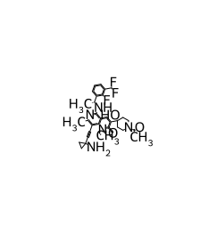 CC(=O)N1CCC(O)(c2cc3c(N[C@H](C)c4cccc(C(F)F)c4F)nc(C)c(C#CC4(N)CC4)c3n(C)c2=O)CC1